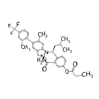 CCC(=O)Oc1ccc([C@H](CC(C)C)n2ncc3cc(-c4ccc(C(F)(F)F)cc4C)c(C)cc32)c(C(N)=O)c1